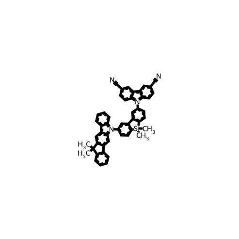 CC1(C)c2ccccc2-c2cc3c(cc21)c1ccccc1n3-c1ccc2c(c1)-c1cc(-n3c4ccc(C#N)cc4c4cc(C#N)ccc43)ccc1[Si]2(C)C